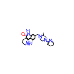 CC1CN(C2=CCCC=N2)CCN1Cc1ccc2c3c(c(=O)[nH]c2c1)CCCN3